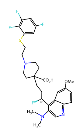 COc1ccc2ncc(N(C)C)c([C@@H](F)CCC3(C(=O)O)CCN(CCSc4cc(F)cc(F)c4F)CC3)c2c1